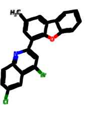 Cc1cc(-c2cc(Br)c3cc(Cl)ccc3n2)c2oc3ccccc3c2c1